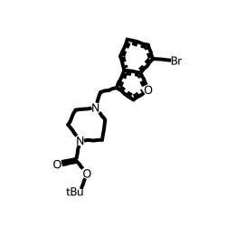 CC(C)(C)OC(=O)N1CCN(Cc2coc3c(Br)cccc23)CC1